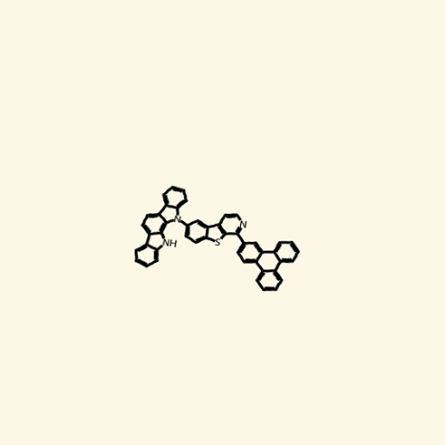 c1ccc2c(c1)[nH]c1c2ccc2c3ccccc3n(-c3ccc4sc5c(-c6ccc7c8ccccc8c8ccccc8c7c6)nccc5c4c3)c21